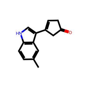 Cc1ccc2[nH]cc(C3=CCC(=O)C3)c2c1